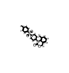 Cc1ccc(S(=O)(=O)N2CCC(N3C(=O)OCc4cccc(C)c43)CC2)cc1